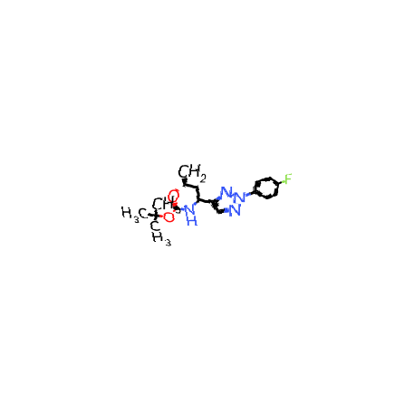 C=CCC(NC(=O)OC(C)(C)C)c1cnn(-c2ccc(F)cc2)n1